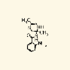 CC1=CNC(C)(NC(=O)c2ccccc2N)C=N1